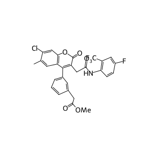 COC(=O)Cc1cccc(-c2c(CC(=O)Nc3ccc(F)cc3C(F)(F)F)c(=O)oc3cc(Cl)c(C)cc23)c1